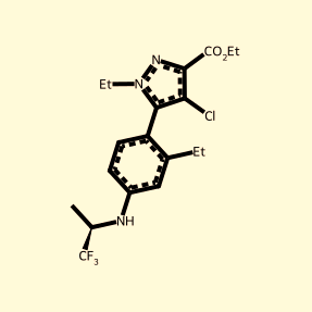 CCOC(=O)c1nn(CC)c(-c2ccc(N[C@H](C)C(F)(F)F)cc2CC)c1Cl